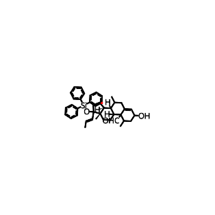 CC=CC1(O[Si](c2ccccc2)(c2ccccc2)c2ccccc2)CC[C@H]2[C@@H]3C(C)CC4=CC(O)CC(C)[C@]4(C=O)[C@@H]3CC[C@@]21C